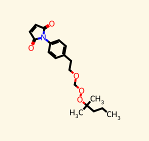 CCCC(C)(C)OOCOCCc1ccc(N2C(=O)C=CC2=O)cc1